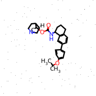 CC(C)Oc1ccc(-c2ccc3c(c2)C(NC(=O)O[C@H]2CN4CCC2CC4)CCC3)cc1